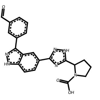 O=Cc1cccc(-c2n[nH]c3ccc(-c4n[nH]c(C5CCCN5C(=O)O)n4)cc23)c1